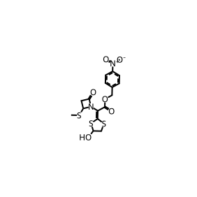 CSC1CC(=O)N1C(C(=O)OCc1ccc([N+](=O)[O-])cc1)=C1SCC(O)S1